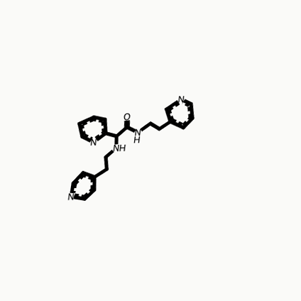 O=C(NCCc1cccnc1)C(NCCc1ccncc1)c1ccccn1